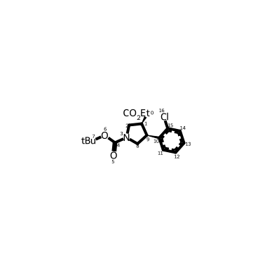 CCOC(=O)[C@@H]1CN(C(=O)OC(C)(C)C)C[C@@H]1c1ccccc1Cl